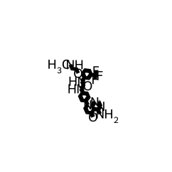 CNCCOc1ccc(C(F)(F)F)cc1NC(=O)Nc1ccc(-n2ccc(=O)c3c(N)ncnc32)cc1